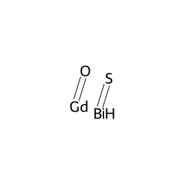 [O]=[Gd].[S]=[BiH]